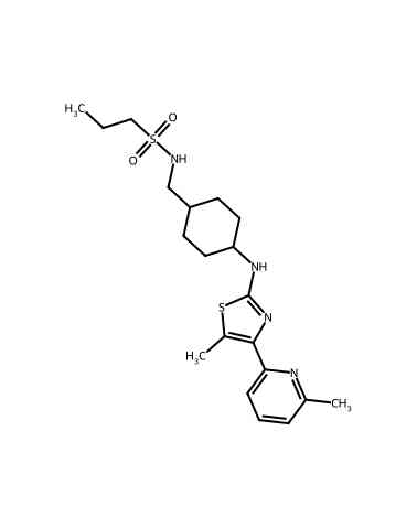 CCCS(=O)(=O)NCC1CCC(Nc2nc(-c3cccc(C)n3)c(C)s2)CC1